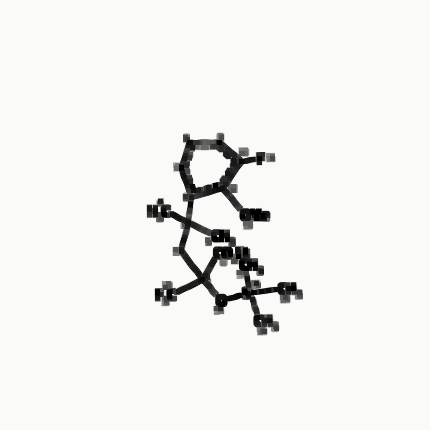 CCOC(=O)C(CC(C)(C)c1cccc(F)c1OC)(O[Si](C)(C)C)C(F)(F)F